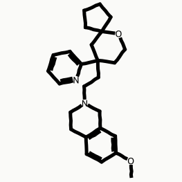 COc1ccc2c(c1)CN(CCC1(c3ccccn3)CCOC3(CCCC3)C1)CC2